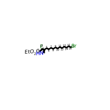 CCOC(=O)c1[nH]cc(CCCCCCCCCCCCBr)c1F